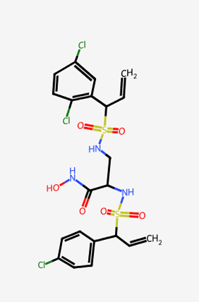 C=CC(c1ccc(Cl)cc1)S(=O)(=O)NC(CNS(=O)(=O)C(C=C)c1cc(Cl)ccc1Cl)C(=O)NO